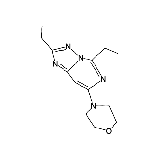 CCc1nc2cc(N3CCOCC3)nc(CC)n2n1